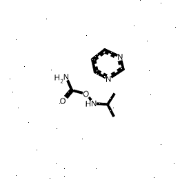 CC(C)NOC(N)=O.c1cncnc1